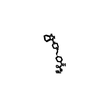 CC(C)(C)OC(=O)N[C@H]1CC[C@H](CCN2CCN(c3nsc4ccccc34)CC2)CC1